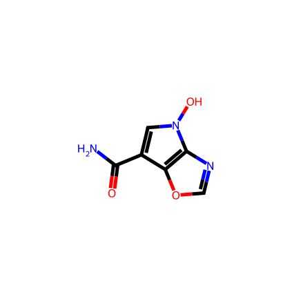 NC(=O)c1cn(O)c2ncoc12